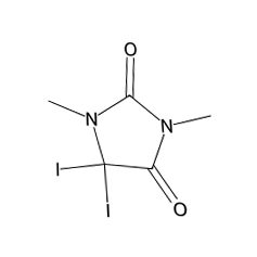 CN1C(=O)N(C)C(I)(I)C1=O